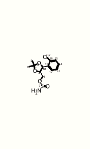 CC1(C)O[C@H](COS(N)=O)[C@H](c2ccccc2Cl)O1